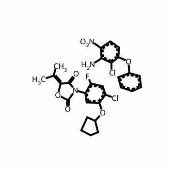 CC(C)=C1OC(=O)N(c2cc(OC3CCCC3)c(Cl)cc2F)C1=O.Nc1c([N+](=O)[O-])ccc(Oc2ccccc2)c1Cl